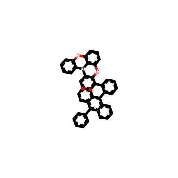 c1ccc(-c2c3ccccc3c(-c3ccccc3-c3cccc4c3Oc3cccc5c3B4c3ccccc3O5)c3ccccc23)cc1